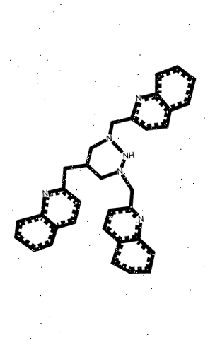 c1ccc2nc(CC3CN(Cc4ccc5ccccc5n4)NN(Cc4ccc5ccccc5n4)C3)ccc2c1